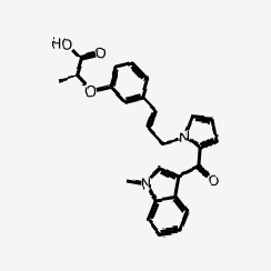 C[C@H](Oc1cccc(/C=C/Cn2cccc2C(=O)c2cn(C)c3ccccc23)c1)C(=O)O